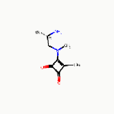 CN(C[C@@H](N)C(C)(C)C)c1c(C(C)(C)C)c(=O)c1=O